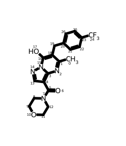 Cc1nc2c(C(=O)N3CCOCC3)cnn2c(O)c1Cc1ccc(C(F)(F)F)cc1